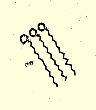 CCCCCCCCCCCCCCCC[n+]1ccccc1.CCCCCCCCCCCCCCCC[n+]1ccccc1.CCCCCCCCCCCCCCCC[n+]1ccccc1.[Cl-].[Cl-].[Cl-]